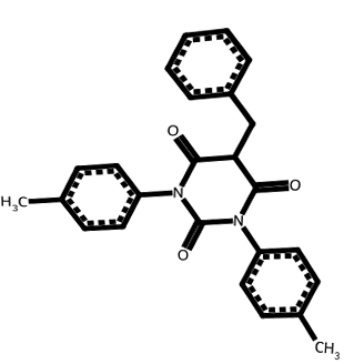 Cc1ccc(N2C(=O)C(Cc3ccccc3)C(=O)N(c3ccc(C)cc3)C2=O)cc1